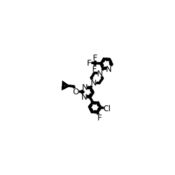 Fc1ccc(-c2cc(N3CCN(c4ncccc4C(F)(F)F)CC3)nc(OCC3CC3)n2)cc1Cl